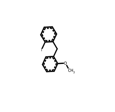 COc1ccccc1Cc1ccccc1I